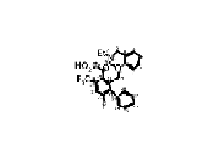 CCN(Cc1ccccc1)C(=O)OCc1c(CC(=O)O)c(C(F)(F)F)cc(F)c1-c1ccccc1